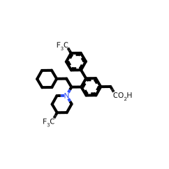 O=C(O)Cc1ccc(C(CC2CCCCC2)N2CCC(C(F)(F)F)CC2)c(-c2ccc(C(F)(F)F)cc2)c1